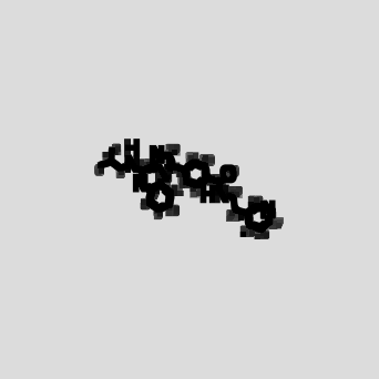 CC(C)CNc1nc2ccccc2n2c(-c3ccc(C(=O)NCCc4cccnc4)cc3)cnc12